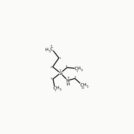 CCC[Si](CC)(CC)NCC